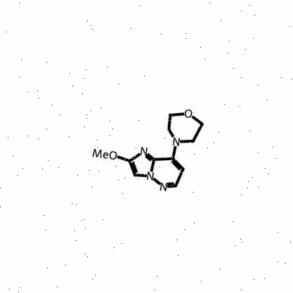 COc1cn2nccc(N3CCOCC3)c2n1